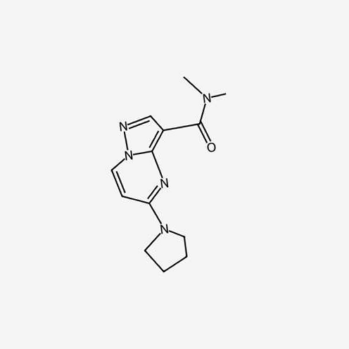 CN(C)C(=O)c1cnn2ccc(N3CCCC3)nc12